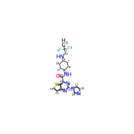 CC(F)(F)CN[C@H]1CC[C@H](NC(=O)c2nc(-n3ccnc3)nc3ccsc23)CC1